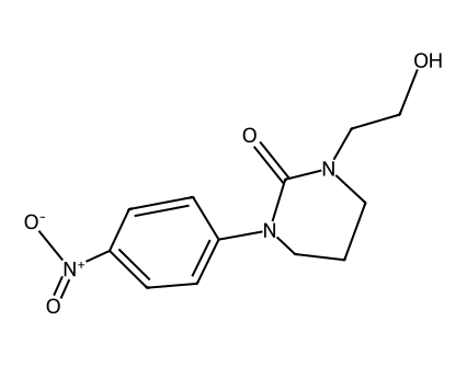 O=C1N(CCO)CCCN1c1ccc([N+](=O)[O-])cc1